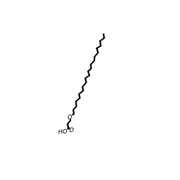 CCCCCCCCCCCCCCCCCCCCCCOCCC(=O)O